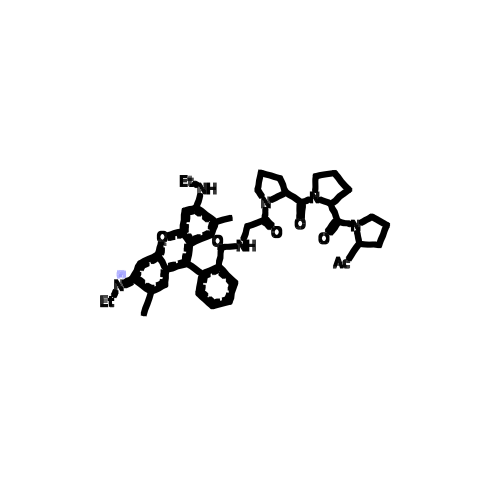 CC/N=c1/cc2oc3cc(NCC)c(C)cc3c(-c3ccccc3C(=O)NCC(=O)N3CCCC3C(=O)N3CCCC3C(=O)N3CCCC3C(C)=O)c-2cc1C